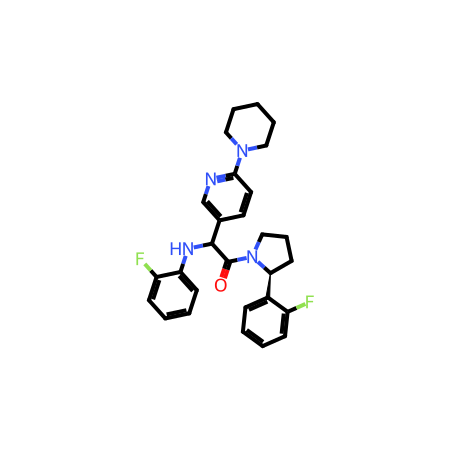 O=C(C(Nc1ccccc1F)c1ccc(N2CCCCC2)nc1)N1CCC[C@H]1c1ccccc1F